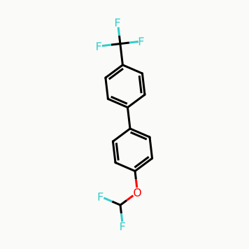 FC(F)Oc1ccc(-c2ccc(C(F)(F)F)cc2)cc1